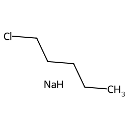 CCCCCCl.[NaH]